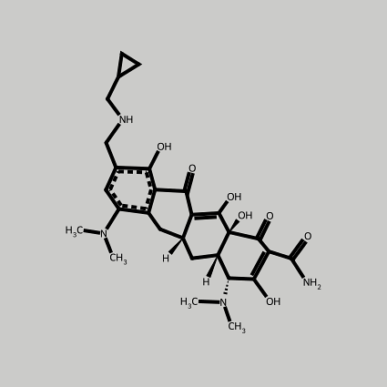 CN(C)c1cc(CNCC2CC2)c(O)c2c1C[C@H]1C[C@H]3[C@@H](N(C)C)C(O)=C(C(N)=O)C(=O)[C@@]3(O)C(O)=C1C2=O